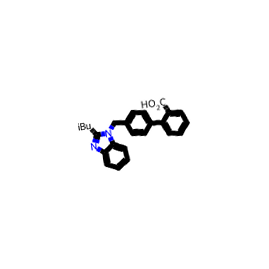 CCC(C)c1nc2ccccc2n1Cc1ccc(-c2ccccc2C(=O)O)cc1